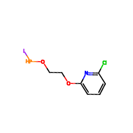 Clc1cccc(OCCOPI)n1